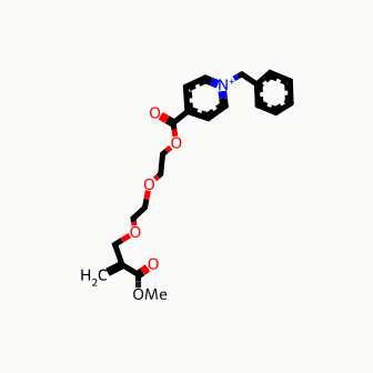 C=C(COCCOCCOC(=O)c1cc[n+](Cc2ccccc2)cc1)C(=O)OC